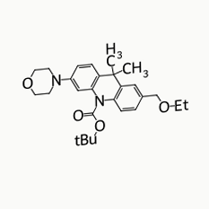 CCOCc1ccc2c(c1)C(C)(C)c1ccc(N3CCOCC3)cc1N2C(=O)OC(C)(C)C